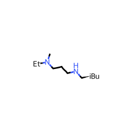 CC[C@H](C)CNCCCN(C)CC